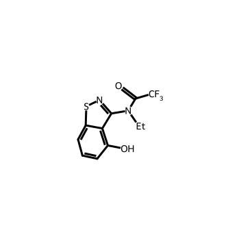 CCN(C(=O)C(F)(F)F)c1nsc2cccc(O)c12